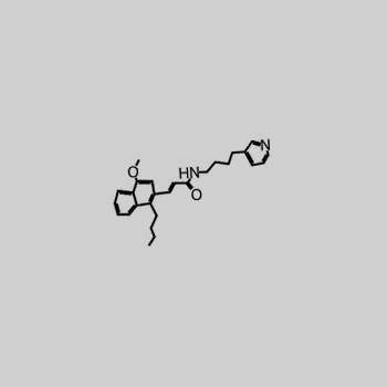 CCCCc1c(/C=C/C(=O)NCCCCc2cccnc2)cc(OC)c2ccccc12